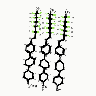 CCCC1CCC(C2CCC(c3ccc(CCC(F)(F)C(F)(F)C(F)(F)C(F)(F)C(F)(F)C(F)(F)F)cc3)CC2)CC1.CCCCC1CCC(C2CCC(c3ccc(CCC(F)(F)C(F)(F)C(F)(F)C(F)(F)C(F)(F)C(F)(F)F)cc3)CC2)CC1.CCCCCC1CCC(C2CCC(c3ccc(CCC(F)(F)C(F)(F)C(F)(F)C(F)(F)C(F)(F)C(F)(F)F)cc3)CC2)CC1